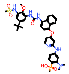 COc1c(NC(=O)Nc2ccc(Oc3ccnc(Nc4ccc(P(C)(=O)O)c(N(C)C)c4)c3)c3ccccc23)cc(C(C)(C)C)cc1NS(C)(=O)=O